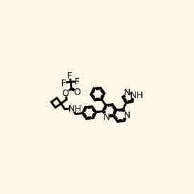 O=C(OCC1(CNCc2ccc(-c3nc4ccnc(-c5cn[nH]c5)c4cc3-c3ccccc3)cc2)CCC1)C(F)(F)F